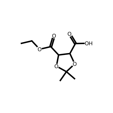 CCOC(=O)C1OC(C)(C)OC1C(=O)O